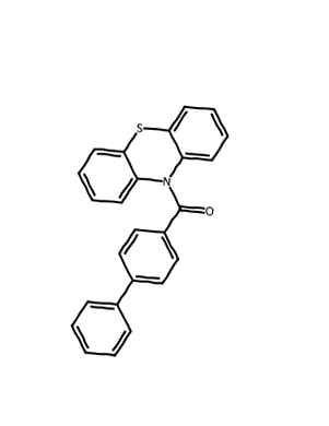 O=C(c1ccc(-c2ccccc2)cc1)N1c2ccccc2Sc2ccccc21